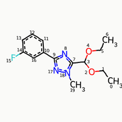 CCOC(OCC)c1nc(-c2cccc(F)c2)nn1C